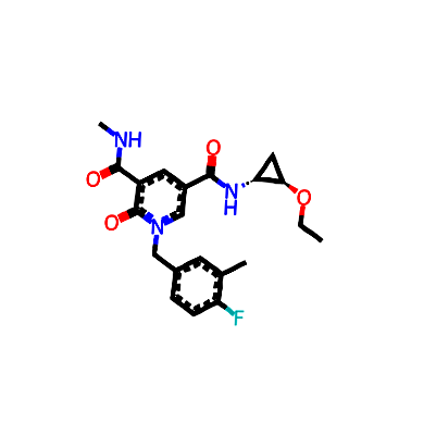 CCO[C@@H]1C[C@H]1NC(=O)c1cc(C(=O)NC)c(=O)n(Cc2ccc(F)c(C)c2)c1